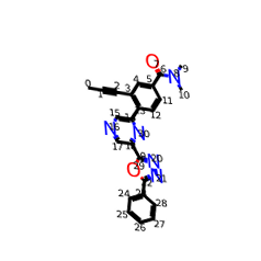 CC#Cc1cc(C(=O)N(C)C)ccc1-c1cncc(-c2nnc(-c3ccccc3)o2)n1